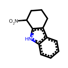 O=[N+]([O-])C1CCCc2c1[nH]c1ccccc21